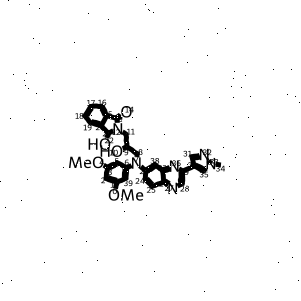 COc1cc(OC)cc(N(CC(O)CN2C(=O)c3ccccc3C2O)c2ccc3ncc(-c4cnn(C)c4)nc3c2)c1